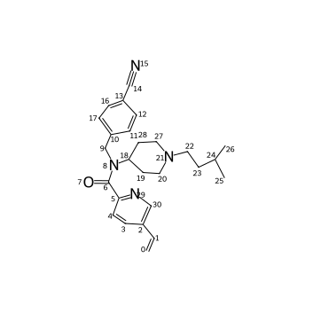 C=Cc1ccc(C(=O)N(Cc2ccc(C#N)cc2)C2CCN(CCC(C)C)CC2)nc1